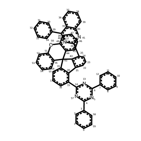 c1ccc(-c2nc(-c3ccccc3)nc(-c3cccc4c3-c3cccc(-c5nc(-c6ccccc6)c6ccccc6n5)c3C43c4ccccc4Oc4ccccc43)n2)cc1